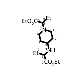 CCOC(=O)C(CC)NC1CCN(C(CC)C(=O)OCC)CC1